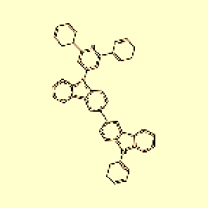 C1=CCCC(n2c3ccccc3c3cc(-c4ccc5c(c4)c4ccccc4n5-c4cc(C5=CCCC=C5)nc(C5C=CC=CC5)c4)ccc32)=C1